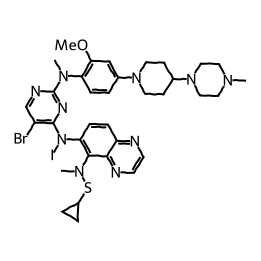 COc1cc(N2CCC(N3CCN(C)CC3)CC2)ccc1N(C)c1ncc(Br)c(N(I)c2ccc3nccnc3c2N(C)SC2CC2)n1